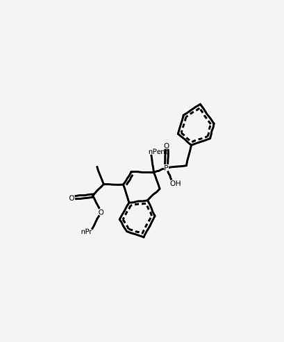 CCCCCC1(P(=O)(O)Cc2ccccc2)C=C(C(C)C(=O)OCCC)c2ccccc2C1